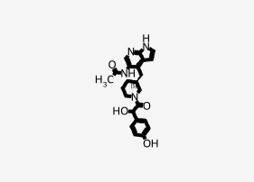 CC(=O)Nc1cnc2[nH]ccc2c1C[C@@H]1CCCN(C(=O)C(O)c2ccc(O)cc2)C1